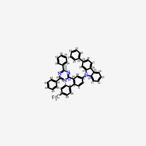 FC(F)(F)c1ccc(-c2ccc(-n3c4ccccc4c4ccc(-c5ccccc5)cc43)cc2-c2nc(-c3ccccc3)nc(-c3ccccc3)n2)cc1